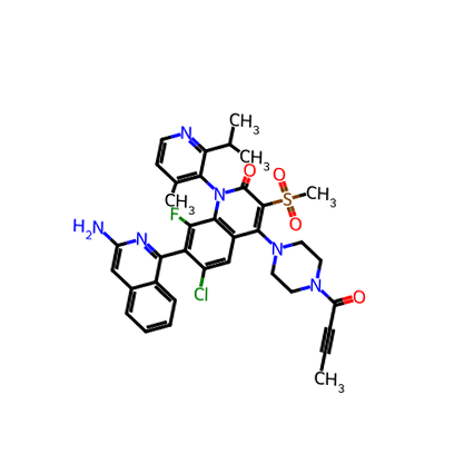 CC#CC(=O)N1CCN(c2c(S(C)(=O)=O)c(=O)n(-c3c(C)ccnc3C(C)C)c3c(F)c(-c4nc(N)cc5ccccc45)c(Cl)cc23)CC1